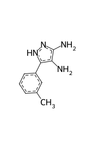 Cc1cccc(-c2[nH]nc(N)c2N)c1